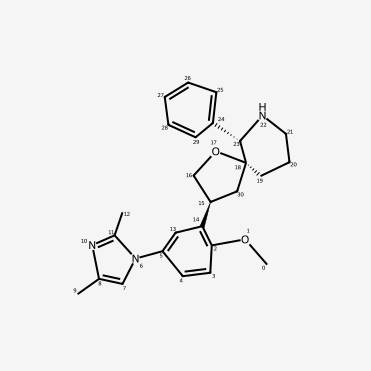 COc1ccc(-n2cc(C)nc2C)cc1[C@H]1CO[C@]2(CCCN[C@H]2c2ccccc2)C1